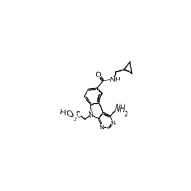 Nc1ncnc2c1c1cc(C(=O)NCC3CC3)ccc1n2CC(=O)O